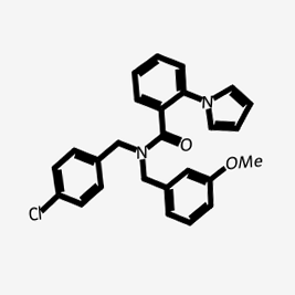 COc1cccc(CN(Cc2ccc(Cl)cc2)C(=O)c2ccccc2-n2cccc2)c1